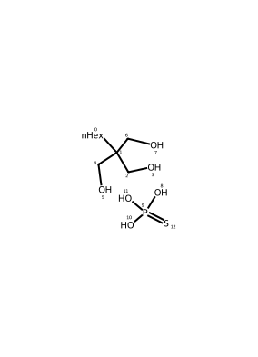 CCCCCCC(CO)(CO)CO.OP(O)(O)=S